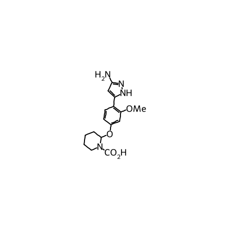 COc1cc(OC2CCCCN2C(=O)O)ccc1-c1cc(N)n[nH]1